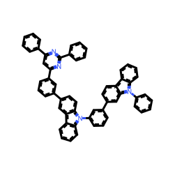 c1ccc(-c2cc(-c3cccc(-c4ccc5c(c4)c4ccccc4n5-c4cccc(-c5ccc6c7ccccc7n(-c7ccccc7)c6c5)c4)c3)nc(-c3ccccc3)n2)cc1